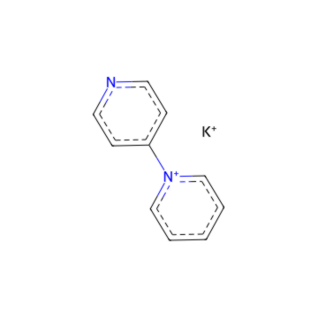 [K+].c1cc[n+](-c2ccncc2)cc1